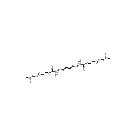 CN(C)CCOCCOC(=O)NCCCCCCNC(=O)OCCOCCN(C)C